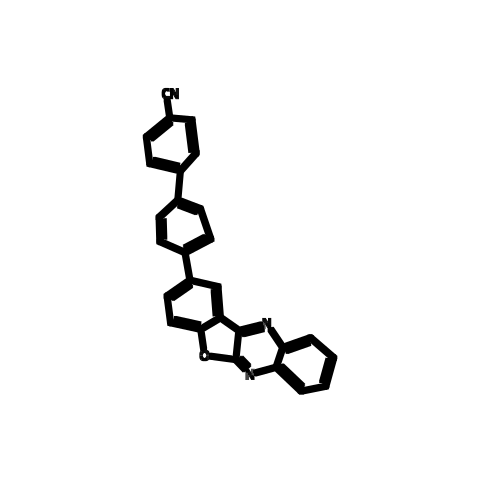 N#Cc1ccc(-c2ccc(-c3ccc4oc5nc6ccccc6nc5c4c3)cc2)cc1